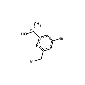 C[C@@H](O)c1cc(Br)cc(CBr)n1